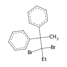 CCC(Br)(Br)C(C)(c1ccccc1)c1ccccc1